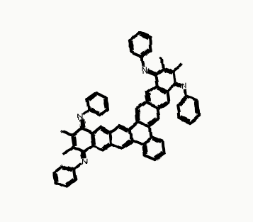 CC1=C(C)C(=Nc2ccccc2)c2cc3cc4c(cc3cc2C1=Nc1ccccc1)c1ccccc1c1cc2cc3c(cc2cc14)C(=Nc1ccccc1)C(C)=C(C)C3=Nc1ccccc1